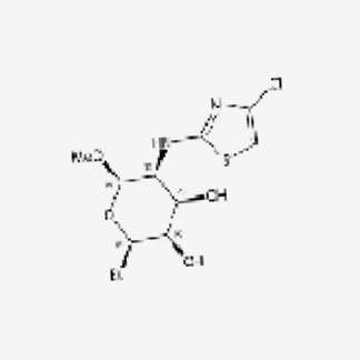 CC[C@H]1O[C@@H](OC)[C@@H](Nc2nc(Cl)cs2)[C@@H](O)[C@H]1O